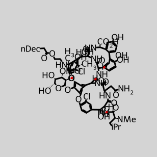 CCCCCCCCCCCC(=O)OCCN[C@@]1(C)C[C@H](O[C@H]2[C@H](Oc3c4cc5cc3Oc3ccc(cc3Cl)[C@@H](O)[C@@H](NC(=O)[C@@H](CC(C)C)NC)C(=O)NC(CC(N)=O)C(=O)N[C@H]5C(=O)N[C@H]3C(=O)N[C@H](C(=O)N[C@@H](C(=O)O)c5cc(O)cc(O)c5-c5cc3ccc5O)[C@H](O)c3ccc(c(Cl)c3)O4)O[C@H](CO)[C@@H](O)[C@@H]2O)O[C@@H](C)[C@H]1O